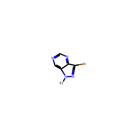 CCn1nc(Br)c2ncncc21